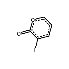 O=c1occcc1I